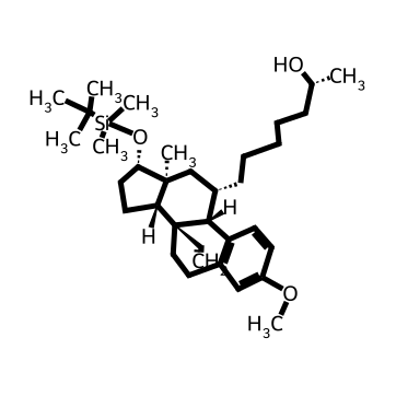 C=C[C@]12CCc3cc(OC)ccc3[C@H]1[C@@H](CCCCC[C@@H](C)O)C[C@]1(C)[C@@H](O[Si](C)(C)C(C)(C)C)CC[C@H]12